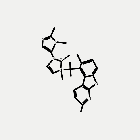 Cc1ccc2c(n1)oc1ccc(C)c(C(C)(C)[N+]3(C)C=CN(c4cnc(C)n4C)[C@H]3C)c12